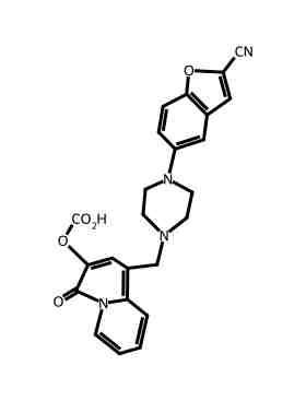 N#Cc1cc2cc(N3CCN(Cc4cc(OC(=O)O)c(=O)n5ccccc45)CC3)ccc2o1